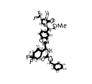 COC[C@H](c1ccc2oc([C@@H](NC(=O)OCc3ccccc3)C3CCC(F)(F)CC3)nc2c1)N1C[C@H](C(F)F)NC1=O